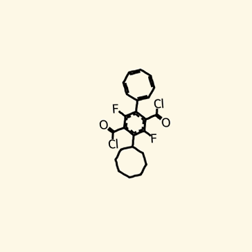 O=C(Cl)c1c(F)c(C2CCCCCCC2)c(C(=O)Cl)c(F)c1C1=C/C=C\C=C/C=C\1